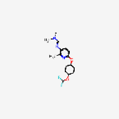 CCN(C)/C=N/c1ccc(OC2CCC(OC(F)F)CC2)nc1C